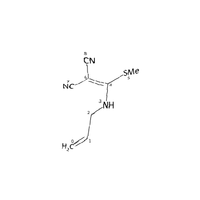 C=CCNC(SC)=C(C#N)C#N